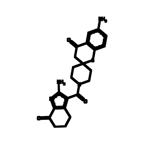 Nc1ccc2c(c1)C(=O)CC1(CCN(C(=O)c3c(N)sc4c3CCCC4=O)CC1)S2